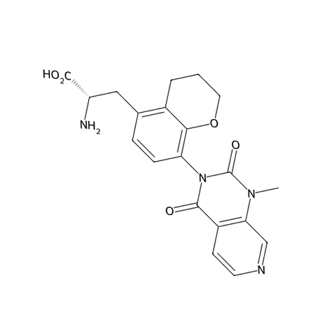 Cn1c(=O)n(-c2ccc(C[C@H](N)C(=O)O)c3c2OCCC3)c(=O)c2ccncc21